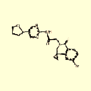 O=C(CN1CC2(CC2)c2cc(Br)ccc2C1=O)Nc1ncc(C2CCCO2)cn1